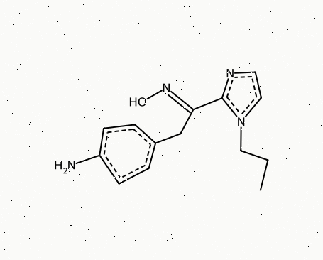 CCCn1ccnc1/C(Cc1ccc(N)cc1)=N/O